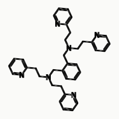 c1ccc(CCN(CCc2ccccn2)Cc2ccccc2CN(CCc2ccccn2)CCc2ccccn2)nc1